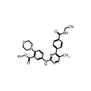 Cc1cnc(Nc2ccc(N3CCOCC3)c(C(=O)OC(C)C)c2)nc1-c1ccc(C(=O)NCC#N)cc1